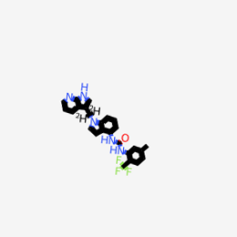 [2H]C([2H])(c1c[nH]c2ncccc12)n1ccc2c(NC(=O)Nc3cc(C)ccc3C(F)(F)F)cccc21